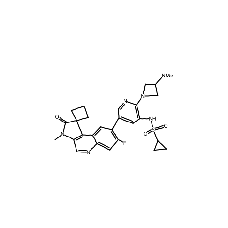 CNC1CN(c2ncc(-c3cc4c5c(cnc4cc3F)N(C)C(=O)C53CCC3)cc2NS(=O)(=O)C2CC2)C1